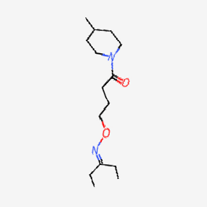 CCC(CC)=NOCCCC(=O)N1CCC(C)CC1